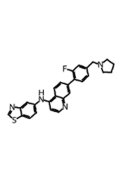 Fc1cc(CN2CCCC2)ccc1-c1ccc2c(Nc3ccc4scnc4c3)ccnc2c1